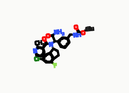 Cc1ncccc1C(=O)N([C@@H]1CCc2c(F)cc(Cl)cc21)[C@@H](C(N)=O)c1cccc(CNC(=O)OC(C)(C)C)c1